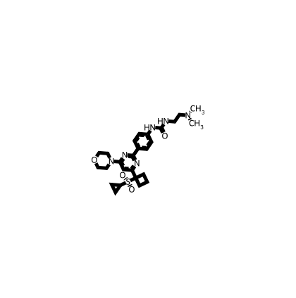 CN(C)CCNC(=O)Nc1ccc(-c2nc(N3CCOCC3)cc(C3(S(=O)(=O)C4CC4)CCC3)n2)cc1